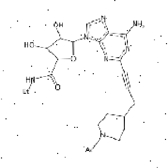 CCNC(=O)C1OC(n2cnc3c(N)nc(C#CCC4CCN(C(C)=O)CC4)nc32)C(O)C1O